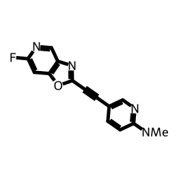 CNc1ccc(C#Cc2nc3cnc(F)cc3o2)cn1